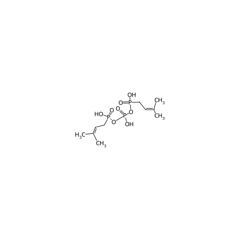 CC(C)=CCP(=O)(O)OP(=O)(O)OP(=O)(O)CC=C(C)C